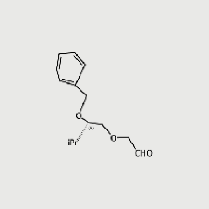 CC(C)[C@@H](COCC=O)OCc1ccccc1